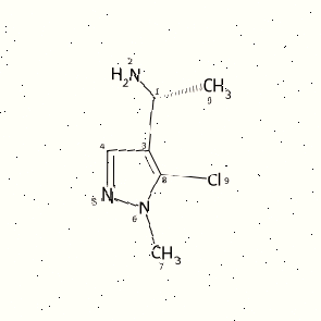 C[C@@H](N)c1cnn(C)c1Cl